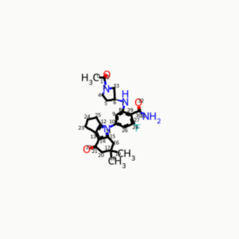 CC(=O)N1CC[C@H](Nc2cc(-n3c4c(c5c3CC(C)(C)CC5=O)CCC4)cc(F)c2C(N)=O)C1